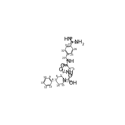 CC(NC(=O)[C@H]1C[C@@H](c2ccccc2)CCN1C(=O)O)C(=O)NCc1ccc(C(=N)N)cc1